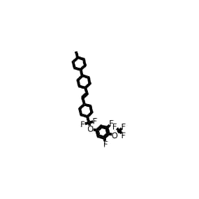 CC1CCC(C2CCC(/C=C/C3CCC(C(F)(F)Oc4cc(F)c(OC(F)(F)F)c(F)c4)CC3)CC2)CC1